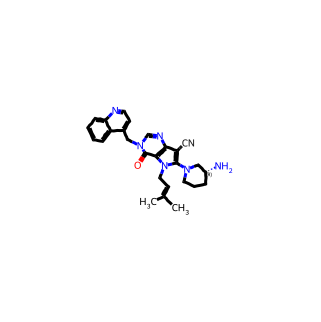 CC(C)=CCn1c(N2CCC[C@@H](N)C2)c(C#N)c2ncn(Cc3ccnc4ccccc34)c(=O)c21